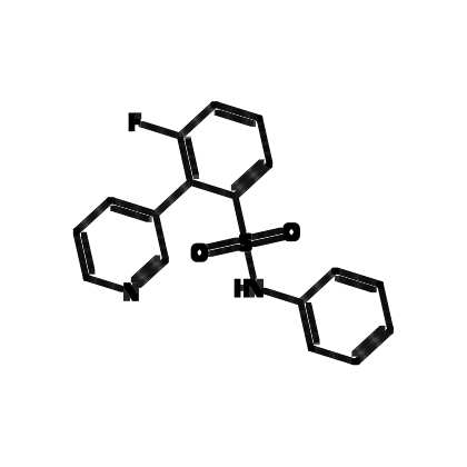 O=S(=O)(Nc1ccccc1)c1cccc(F)c1-c1cccnc1